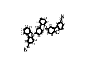 N#Cc1ccc2oc3ccc(-n4c5ccccc5c5cc(-n6c7ccccc7c7cc(C#N)ccc76)ccc54)cc3c2c1